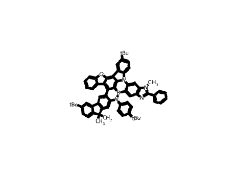 Cn1c(-c2ccccc2)nc2cc3c(cc21)-n1c2ccc(C(C)(C)C)cc2c2c4oc5ccccc5c4c4c(c21)B3N(c1ccc(C(C)(C)C)cc1)c1cc2c(cc1-4)-c1cc(C(C)(C)C)ccc1C2(C)C